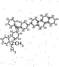 CC1(C)c2ccccc2-c2cc(N(c3ccccc3)c3ccc(-c4ccc5c(ccc6c7ccccc7ccc56)c4)cc3)ccc21